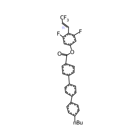 CCCCc1ccc(-c2ccc(-c3ccc(C(=O)Oc4cc(F)c(/C=C/C(F)(F)F)c(F)c4)cc3)cc2)cc1